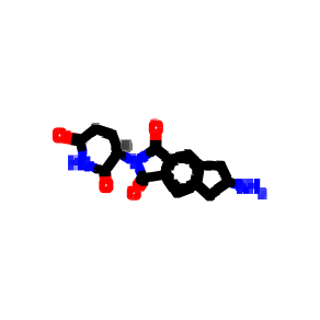 NC1Cc2cc3c(cc2C1)C(=O)N([C@@H]1CCC(=O)NC1=O)C3=O